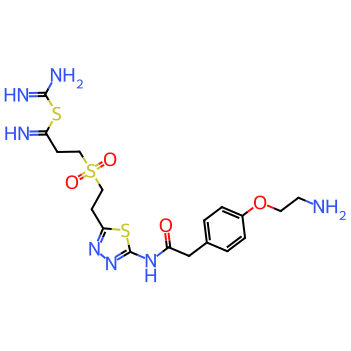 N=C(N)SC(=N)CCS(=O)(=O)CCc1nnc(NC(=O)Cc2ccc(OCCN)cc2)s1